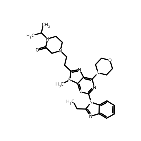 CCc1nc2ccccc2n1-c1nc(N2CCOCC2)c2nc(CCN3CCN(C(C)C)C(=O)C3)n(C)c2n1